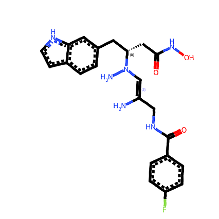 N/C(=C\N(N)[C@@H](CC(=O)NO)Cc1ccc2cc[nH]c2c1)CNC(=O)c1ccc(F)cc1